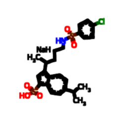 CC(C)c1ccc2c(C(C)CCCNS(=O)(=O)c3ccc(Cl)cc3)cc(S(=O)(=O)O)c-2cc1.[NaH]